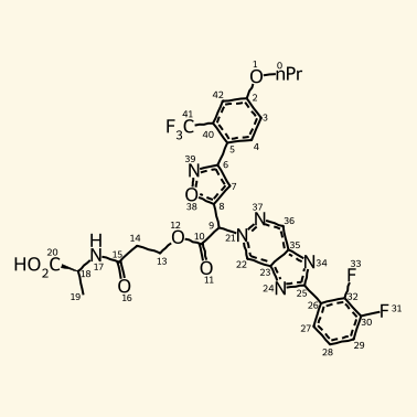 CCCOc1ccc(-c2cc(C(C(=O)OCCC(=O)N[C@@H](C)C(=O)O)n3cc4nc(-c5cccc(F)c5F)nc-4cn3)on2)c(C(F)(F)F)c1